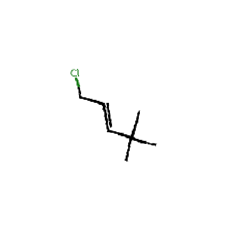 CC(C)(C)C=CCCl